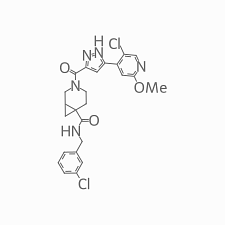 COc1cc(-c2cc(C(=O)N3CCC4(C(=O)NCc5cccc(Cl)c5)CC4C3)n[nH]2)c(Cl)cn1